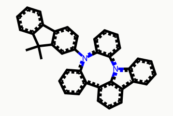 CC1(C)c2ccccc2-c2ccc(-n3c4ccccc4c4cccc5c6ccccc6n(c6ccccc63)c45)cc21